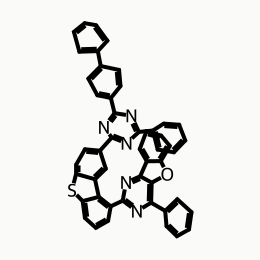 c1ccc(-c2ccc(-c3nc(-c4ccccc4)nc(-c4ccc5sc6cccc(-c7nc(-c8ccccc8)c8oc9ccccc9c8n7)c6c5c4)n3)cc2)cc1